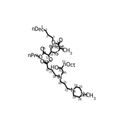 CCCCCCCCCCCCCOC(=O)C(C)SC(CCCCCCC)C(OC(=O)CCCN(CCCN1CCN(C)CC1)CC(O)CCCCCCCC)C(=O)OCCC